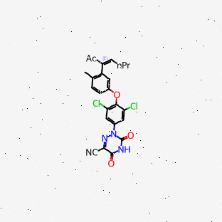 CCC/C=C(/C(C)=O)c1cc(Oc2c(Cl)cc(-n3nc(C#N)c(=O)[nH]c3=O)cc2Cl)ccc1C